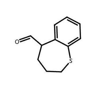 O=CC1CCCSc2ccccc21